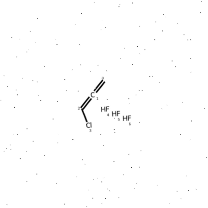 C=C=CCl.F.F.F